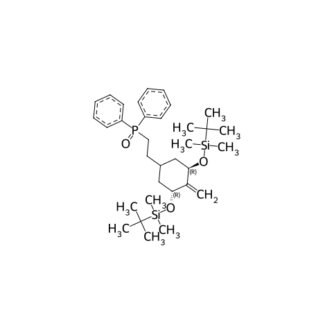 C=C1[C@H](O[Si](C)(C)C(C)(C)C)CC(CCP(=O)(c2ccccc2)c2ccccc2)C[C@H]1O[Si](C)(C)C(C)(C)C